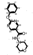 O=C(NN1CCOCC1)c1cnc(Oc2ccccc2)nc1